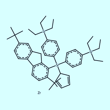 CC[Si](CC)(CC)c1ccc([Si](c2ccc([Si](CC)(CC)CC)cc2)(c2c(C(C)(C)C)ccc3c2Cc2cc(C(C)(C)C)ccc2-3)C2C=CC=C2)cc1.[Zr]